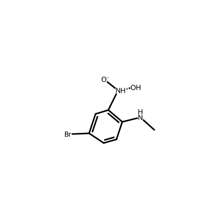 CNc1ccc(Br)cc1[NH+]([O-])O